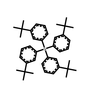 CC(C)(C)c1cccc([Si](c2cccc(C(C)(C)C)c2)(c2cccc(C(C)(C)C)c2)c2cccc(C(C)(C)C)c2)c1